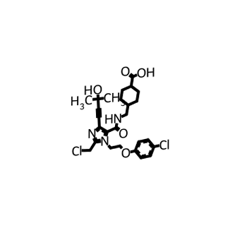 CC(C)(O)C#Cc1nc(CCl)n(CCOc2ccc(Cl)cc2)c1C(=O)NCC1CCC(C(=O)O)CC1